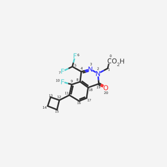 O=C(O)Cn1nc(C(F)F)c2c(F)c(C3CCC3)ccc2c1=O